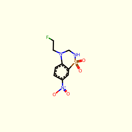 O=[N+]([O-])c1ccc2c(c1)S(=O)(=O)NCN2CCF